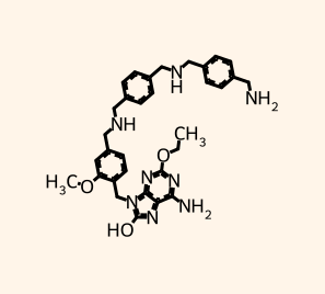 CCOc1nc(N)c2nc(O)n(Cc3ccc(CNCc4ccc(CNCc5ccc(CN)cc5)cc4)cc3OC)c2n1